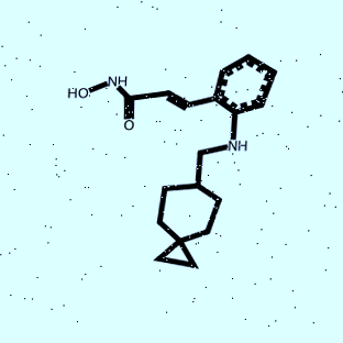 O=C(/C=C/c1ccccc1NCC1CCC2(CC1)CC2)NO